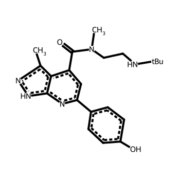 Cc1n[nH]c2nc(-c3ccc(O)cc3)cc(C(=O)N(C)CCNC(C)(C)C)c12